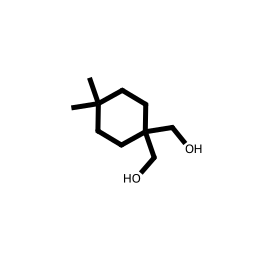 CC1(C)CCC(CO)(CO)CC1